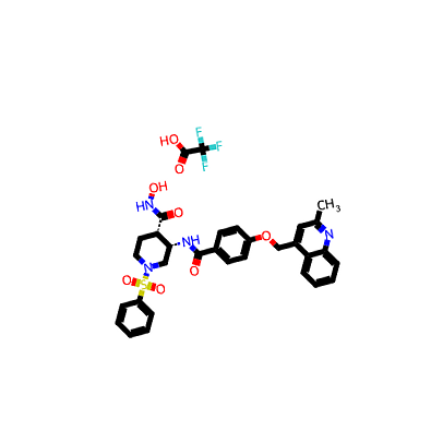 Cc1cc(COc2ccc(C(=O)N[C@@H]3CN(S(=O)(=O)c4ccccc4)CC[C@@H]3C(=O)NO)cc2)c2ccccc2n1.O=C(O)C(F)(F)F